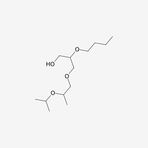 CCCCOC(CO)COCC(C)OC(C)C